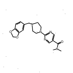 CN(C)C(=O)c1cnc(N2CCN(Cc3ccc4c(c3)OCO4)CC2)nc1